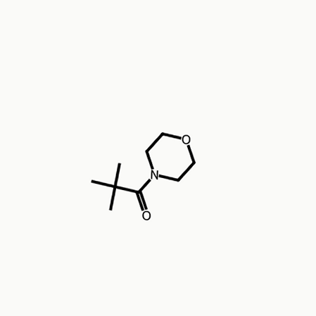 CC(C)(C)C(=O)N1CCOCC1